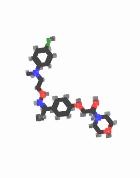 CC/C(=N/OCCN(C)c1ccc(F)cc1)c1ccc(OCC(=O)N2CCOCC2)cc1